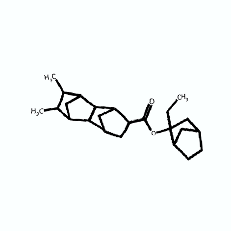 CCC1(OC(=O)C2CC3CC2C2C4CC(C(C)C4C)C32)CC2CCC1C2